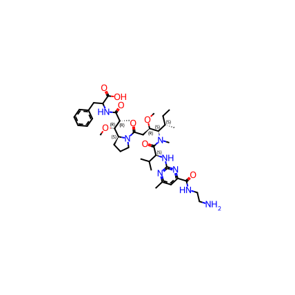 CC[C@H](C)[C@@H]([C@@H](CC(=O)N1CCC[C@H]1[C@H](OC)[C@@H](C)C(=O)NC(Cc1ccccc1)C(=O)O)OC)N(C)C(=O)[C@@H](Nc1nc(C)cc(C(=O)NCCN)n1)C(C)C